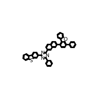 c1ccc(-c2nc(-c3ccc4ccc(-c5ccc(-c6ccccc6)c6oc7ccccc7c56)cc4c3)nc(-c3ccc4c(c3)sc3ccccc34)n2)cc1